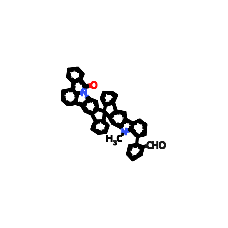 Cn1c2cc3c(cc2c2cccc(-c4ccccc4C=O)c21)-c1ccccc1C31c2ccccc2-c2cc3c4cccc5c6ccccc6c(=O)n(c3cc21)c54